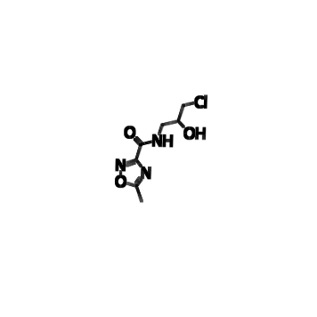 Cc1nc(C(=O)NCC(O)CCl)no1